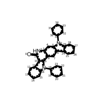 O=c1[nH]c2cc3c(cc2c2c1c1ccccc1n2-c1ccccc1)c1ccccc1n3-c1ccccc1